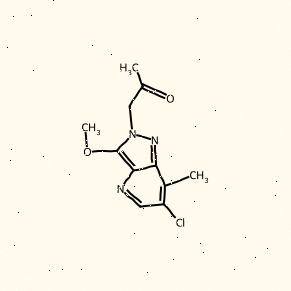 COc1c2ncc(Cl)c(C)c2nn1CC(C)=O